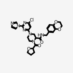 O=C(NCc1ccc2c(c1)OCCO2)C1CN(c2cc(Cl)nc(-n3ccnc3)n2)CCN1C(=O)C1CCCO1